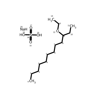 CCCCCCCCCC(CC)OCC.O=S(=O)(O)O.[NaH]